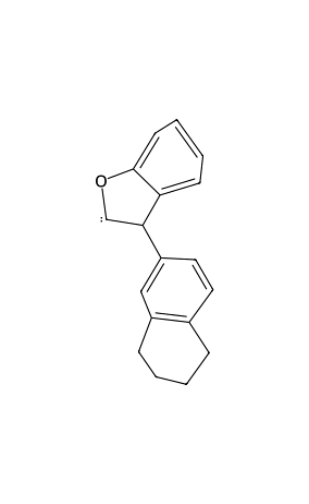 [C]1Oc2ccccc2C1c1ccc2c(c1)CCCC2